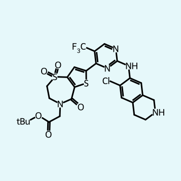 CC(C)(C)OC(=O)CN1CCS(=O)(=O)c2cc(-c3nc(Nc4cc5c(cc4Cl)CCNC5)ncc3C(F)(F)F)sc2C1=O